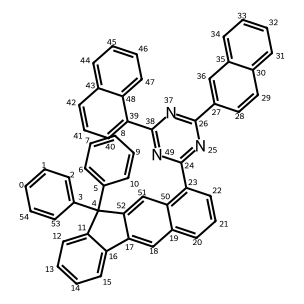 c1ccc(C2(c3ccccc3)c3ccccc3-c3cc4cccc(-c5nc(-c6ccc7ccccc7c6)nc(-c6cccc7ccccc67)n5)c4cc32)cc1